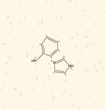 CCCc1ccccc1.c1c[nH]cn1